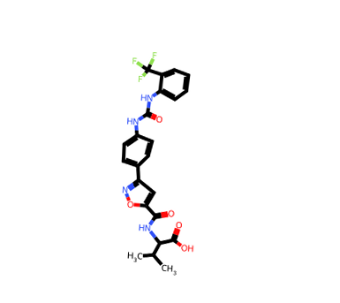 CC(C)C(NC(=O)c1cc(-c2ccc(NC(=O)Nc3ccccc3C(F)(F)F)cc2)no1)C(=O)O